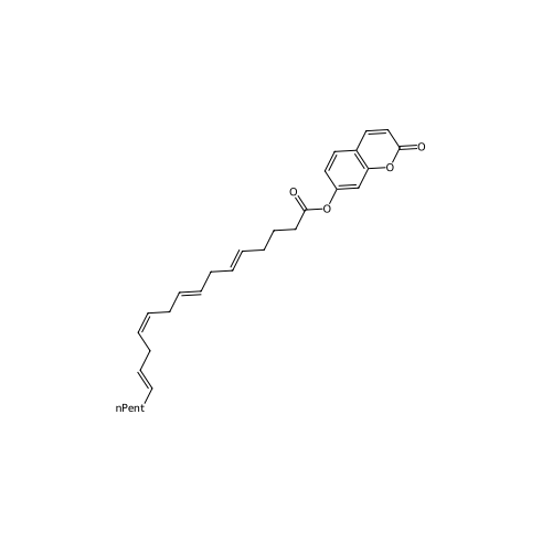 CCCCC/C=C/C/C=C\C/C=C/C/C=C/CCCC(=O)Oc1ccc2ccc(=O)oc2c1